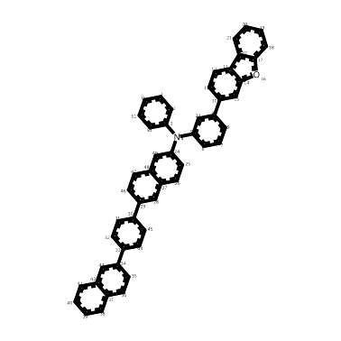 c1ccc(N(c2cccc(-c3ccc4c(c3)oc3ccccc34)c2)c2ccc3cc(-c4ccc(-c5ccc6ccccc6c5)cc4)ccc3c2)cc1